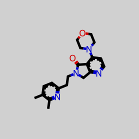 Cc1ccc(CCN2Cc3nccc(N4CCOCC4)c3C2=O)nc1C